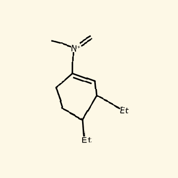 C=[N+](C)C1=CC(CC)C(CC)CC1